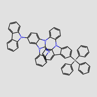 c1ccc([Si](c2ccccc2)(c2ccccc2)c2ccc3c(c2)c2ccccc2n3-c2ccccc2-n2c3ccc(-n4c5ccccc5c5ccccc54)cc3n3c4ccccc4nc23)cc1